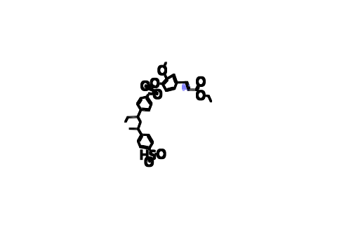 CCOC(=O)/C=C/c1ccc(OS(=O)(=O)c2ccc(C(CC)CC(C)c3ccc([SH](=O)=O)cc3)cc2)c(OC)c1